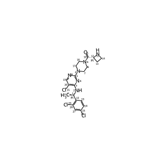 C[C@@H](Nc1nc(N2CCN(C(=O)[C@H]3CCN3)CC2)ncc1Cl)c1ccc(Cl)cc1Cl